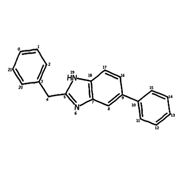 c1ccc(Cc2nc3cc(-c4ccccc4)ccc3[nH]2)cc1